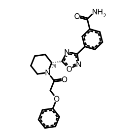 NC(=O)c1cccc(-c2noc([C@H]3CCCCN3C(=O)COc3ccccc3)n2)c1